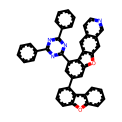 c1ccc(-c2nc(-c3ccccc3)nc(-c3cc(-c4cccc5oc6ccccc6c45)cc4oc5cc6cnccc6cc5c34)n2)cc1